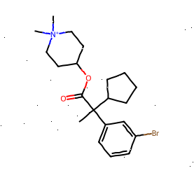 CC(C(=O)OC1CC[N+](C)(C)CC1)(c1cccc(Br)c1)C1CCCC1